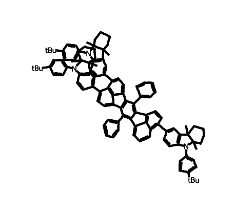 CC(C)(C)c1ccc(N2c3ccc(-c4ccc5c6c(-c7ccccc7)c7c8ccc(-c9ccc%10c(c9)C9(C)CCCCC9(C)N%10c9ccc(C(C)(C)C)cc9)c9c(-c%10ccc%11c(c%10)C%10(C)CCCCC%10(C)N%11c%10ccc(C(C)(C)C)cc%10)ccc(c7c(-c7ccccc7)c6c6cccc4c65)c98)cc3C3(C)CCCCC23C)cc1